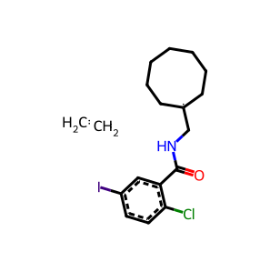 O=C(NC[C]1CCCCCCC1)c1cc(I)ccc1Cl.[CH2].[CH2]